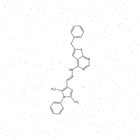 Cc1cc(C=NNc2ncnc3sc(Cc4ccccc4)cc23)c(C)n1-c1ccccc1